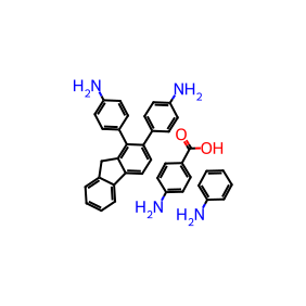 Nc1ccc(-c2ccc3c(c2-c2ccc(N)cc2)Cc2ccccc2-3)cc1.Nc1ccc(C(=O)O)cc1.Nc1ccccc1